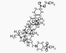 C=C(C)[C@@H]1CC[C@]2(NCCN3CCC(S(C)(=O)=O)CC3)CC[C@]3(C)[C@H](CC[C@@H]4[C@@]5(C)CC=C(C6=CCC(C(=O)OCC)CC6)C(C)(C)[C@@H]5CC[C@]43C)[C@@H]12